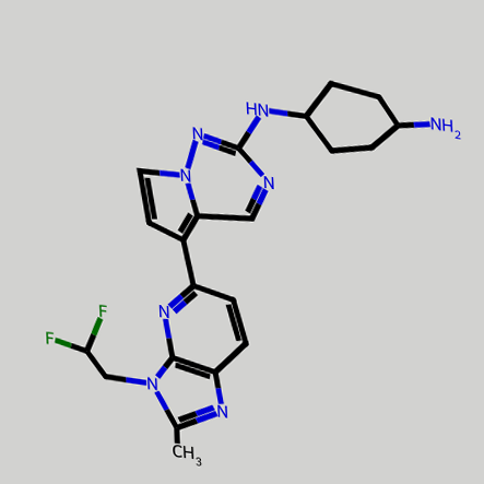 Cc1nc2ccc(-c3ccn4nc(NC5CCC(N)CC5)ncc34)nc2n1CC(F)F